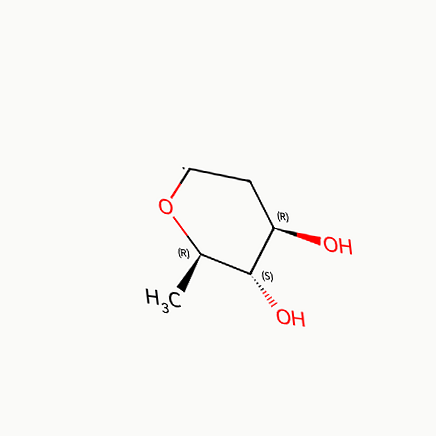 C[C@H]1O[CH]C[C@@H](O)[C@@H]1O